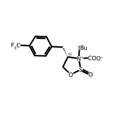 CC(C)(C)[N+]1(C(=O)[O-])[C@@H](Cc2ccc(C(F)(F)F)cc2)COS1=O